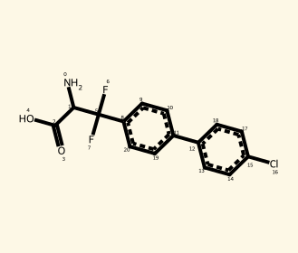 NC(C(=O)O)C(F)(F)c1ccc(-c2ccc(Cl)cc2)cc1